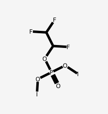 O=P(OI)(OI)OC(F)C(F)F